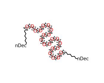 CCCCCCCCCCCCCCCC[Si](C)(C)O[Si](C)(C)O[Si](C)(C)O[Si](C)(C)O[Si](C)(C)O[Si](C)(C)O[Si](C)(C)O[Si](C)(C)O[Si](C)(C)O[Si](C)(C)O[Si](C)(C)O[Si](C)(C)O[Si](C)(C)O[Si](C)(C)O[Si](C)(C)O[Si](C)(C)O[Si](C)(C)O[Si](C)(C)O[Si](C)(C)O[Si](C)(C)O[Si](C)(C)O[Si](C)(C)CCCCCCCCCCCCCCCC